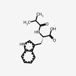 CC(C)C(=O)N[C@@H](Cc1c[nH]c2ccccc12)C(=O)O